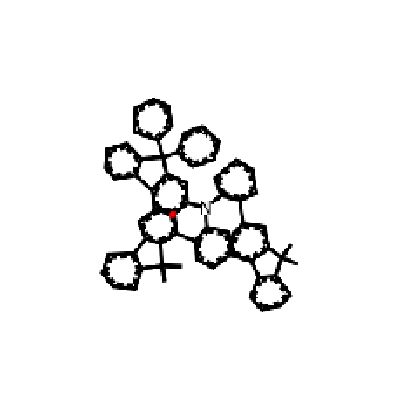 CC1(C)c2ccccc2-c2ccc(-c3ccccc3N(c3ccc4c(c3)C(c3ccccc3)(c3ccccc3)c3ccccc3-4)c3ccccc3-c3cccc4c3C(C)(C)c3ccccc3-4)cc21